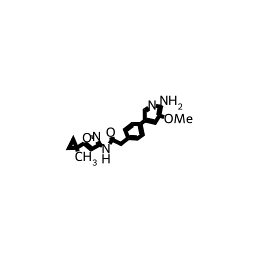 COc1cc(-c2ccc(CC(=O)Nc3cc(C4(C)CC4)on3)cc2)cnc1N